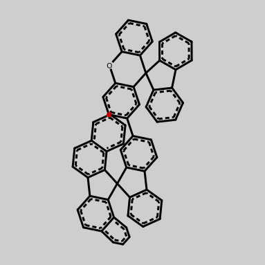 c1ccc2c(c1)Oc1ccc(-c3ccc4c(c3)C3(c5ccccc5-4)c4c(ccc5ccccc45)-c4ccc5ccccc5c43)cc1C21c2ccccc2-c2ccccc21